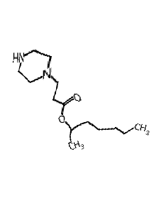 CCCCCC(C)OC(=O)CCN1CCNCC1